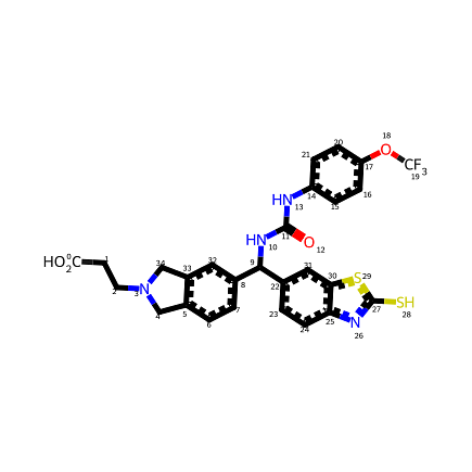 O=C(O)CCN1Cc2ccc(C(NC(=O)Nc3ccc(OC(F)(F)F)cc3)c3ccc4nc(S)sc4c3)cc2C1